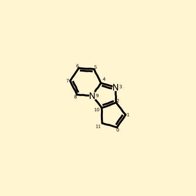 C1=Cc2nc3ccccn3c2C1